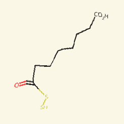 O=C(O)CCCCCCC(=O)SS